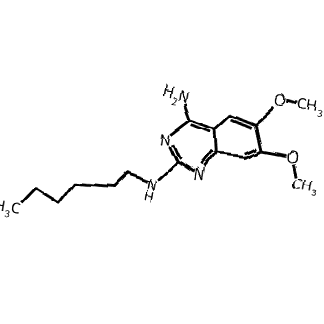 CCCCCCNc1nc(N)c2cc(OC)c(OC)cc2n1